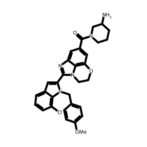 COc1ccc(Cn2c(-c3nc4cc(C(=O)N5CCCC(N)C5)cc5c4n3CCO5)cc3cccc(Cl)c32)cc1